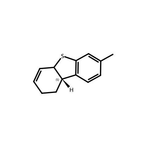 Cc1ccc2c(c1)SC1C=CCC[C@@H]21